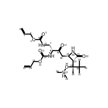 C=CCOC(=O)NC[C@@H](NC(=O)OCC=C)C(=O)C[C@H]1NC(=O)[C@@H]1[C@@](C)(O[SiH](C)C)C(C)(C)C